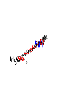 CC(C)(C)OC(=O)CCCOCCOCCOCCOCCNC(=O)CNC(=O)OCc1ccccc1